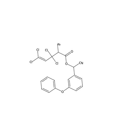 CC(C)C(C(=O)OC(C#N)c1cccc(Oc2ccccc2)c1)C(Cl)(Cl)C=C(Cl)Cl